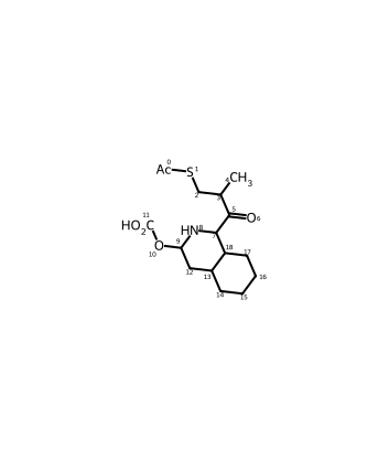 CC(=O)SCC(C)C(=O)C1NC(OC(=O)O)CC2CCCCC21